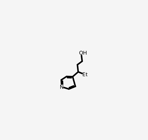 CCC(CCO)c1ccncc1